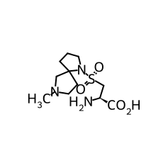 CN1CCC2(CCCN2S(=O)(=O)C[C@H](N)C(=O)O)C1